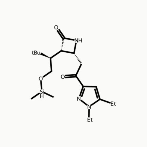 CCc1cc(C(=O)C[C@H]2NC(=O)[C@H]2[C@@H](CO[SiH](C)C)C(C)(C)C)nn1CC